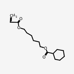 C=CC(=O)OCCCCCCOC(=O)C1CCCCC1